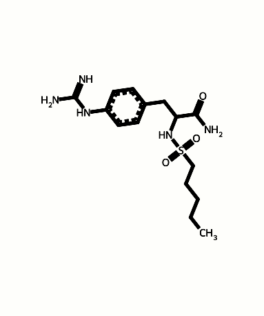 CCCCCS(=O)(=O)NC(Cc1ccc(NC(=N)N)cc1)C(N)=O